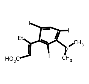 CCC(=CC(=O)O)c1c(I)cc(I)c(N(C)C)c1I